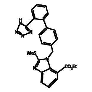 CCOC(=O)c1cccc2nc(SC)n(Cc3ccc(-c4ccccc4-c4nnn[nH]4)cc3)c12